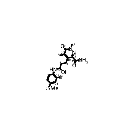 CSc1ccc(NC(O)CCc2c(C(N)=O)nn(C)c(=O)c2C)c(F)c1